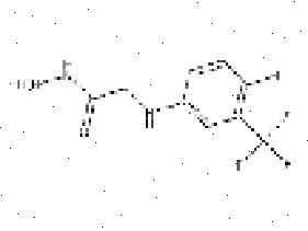 NNC(=O)CNc1ccc(F)c(C(F)(F)F)c1